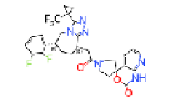 O=C1Nc2ncccc2C2(CCN(C(=O)C[C@H]3CC[C@H](c4cccc(F)c4F)Cn4c3nnc4C3(C(F)(F)F)CC3)CC2)O1